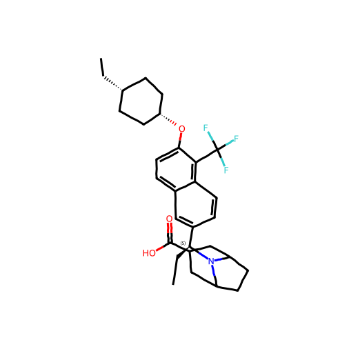 CC[C@@H](c1ccc2c(C(F)(F)F)c(O[C@H]3CC[C@@H](CC)CC3)ccc2c1)N1C2CCC1CC(C(=O)O)C2